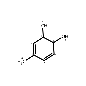 CC1=CC(C)C(O)C=C1